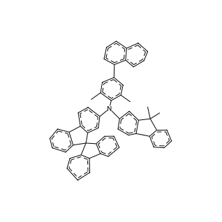 Cc1cc(-c2cccc3ccccc23)cc(C)c1N(c1ccc2c(c1)C(C)(C)c1ccccc1-2)c1ccc2c(c1)C1(c3ccccc3-c3ccccc31)c1ccccc1-2